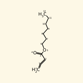 C=C=CC(=O)OCCCCCCC